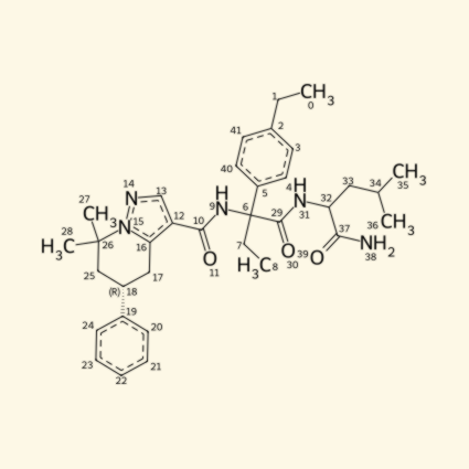 CCc1ccc(C(CC)(NC(=O)c2cnn3c2C[C@H](c2ccccc2)CC3(C)C)C(=O)NC(CC(C)C)C(N)=O)cc1